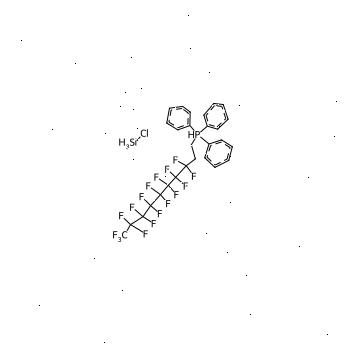 FC(F)(F)C(F)(F)C(F)(F)C(F)(F)C(F)(F)C(F)(F)C(F)(F)C(F)(F)CC[PH](c1ccccc1)(c1ccccc1)c1ccccc1.[SiH3]Cl